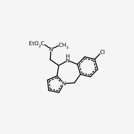 CCOC(=O)N(C)CC1Nc2cc(Cl)ccc2Cn2cccc21